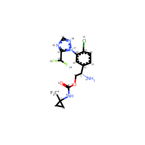 N[C@H](COC(=O)NC1(C(F)(F)F)CC1)c1ccc(Cl)c(-n2ncnc2C(F)F)c1